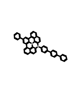 c1ccc(-c2ccc(-c3ccc(B4c5ccc6cccc7c6c5N5c6c-7cc(-c7ccccc7)cc6-c6cccc7ccc4c5c67)cc3)cc2)cc1